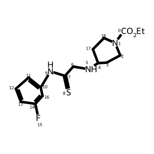 CCOC(=O)N1CCC(NCC(=S)Nc2cccc(F)c2)CC1